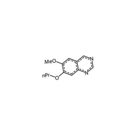 CCCOc1cc2ncncc2cc1OC